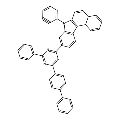 c1cccc(-n2c3c(c4ccc(-c5nc(-c6ccccc6)nc(-c6ccc(-c7ccccc7)cc6)n5)cc42)C2C=CC=CC2C=C3)c#1